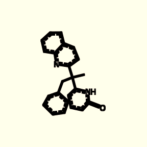 CC(Cc1ccccc1)(c1ccc2ccccc2n1)c1cccc(=O)[nH]1